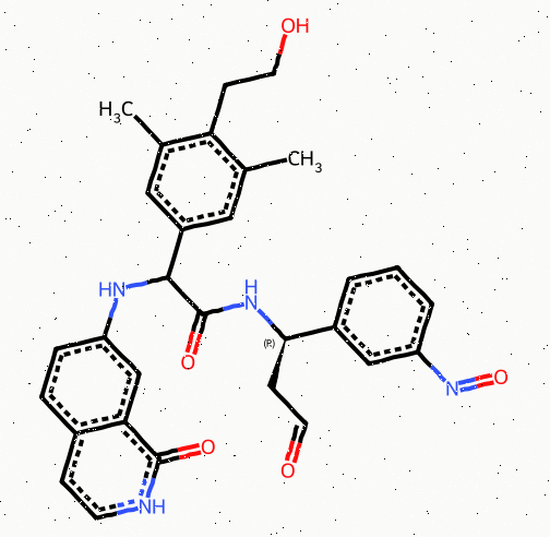 Cc1cc(C(Nc2ccc3cc[nH]c(=O)c3c2)C(=O)N[C@H](CC=O)c2cccc(N=O)c2)cc(C)c1CCO